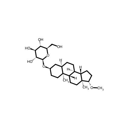 CO[C@H]1CC[C@H]2[C@@H]3CC[C@@H]4C[C@H](O[C@@H]5O[C@H](CO)[C@@H](O)[C@H](O)[C@H]5O)CC[C@]4(C)[C@H]3CC[C@]12C